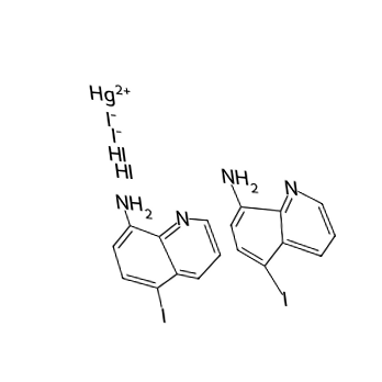 I.I.Nc1ccc(I)c2cccnc12.Nc1ccc(I)c2cccnc12.[Hg+2].[I-].[I-]